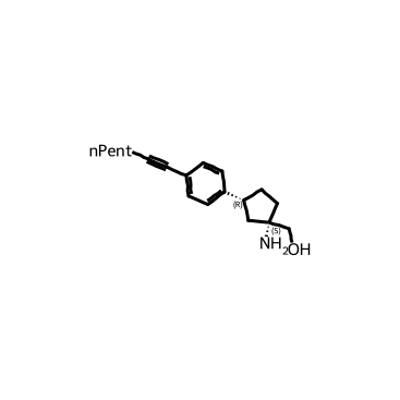 CCCCCC#Cc1ccc([C@@H]2CC[C@@](N)(CO)C2)cc1